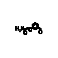 NC(=O)COc1cccc(C=O)c1